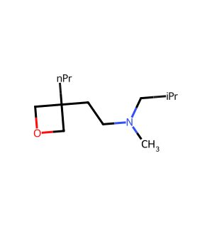 CCCC1(CCN(C)CC(C)C)COC1